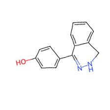 Oc1ccc(C2=NNCc3ccccc32)cc1